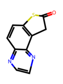 O=C1Cc2c(ccc3nccnc23)S1